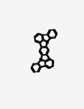 c1ccc2c(c1)c1cccc3c4cc5c(cc4n2c13)c1cccc2c3ccccc3n5c21